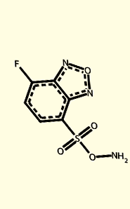 NOS(=O)(=O)c1ccc(F)c2nonc12